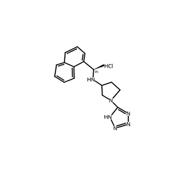 C[C@@H](NC1CCN(c2nnn[nH]2)C1)c1cccc2ccccc12.Cl